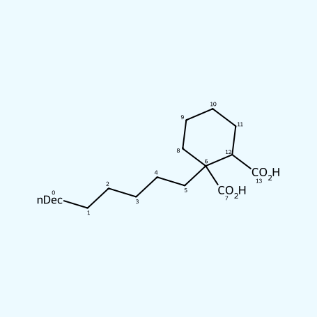 CCCCCCCCCCCCCCCC1(C(=O)O)CCCCC1C(=O)O